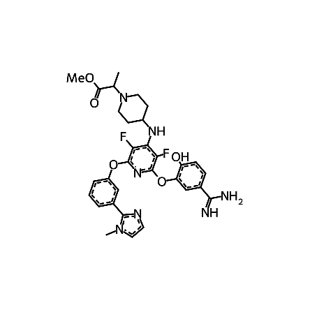 COC(=O)C(C)N1CCC(Nc2c(F)c(Oc3cccc(-c4nccn4C)c3)nc(Oc3cc(C(=N)N)ccc3O)c2F)CC1